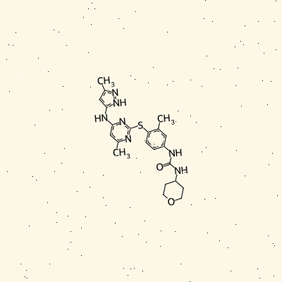 Cc1cc(Nc2cc(C)nc(Sc3ccc(NC(=O)NC4CCOCC4)cc3C)n2)[nH]n1